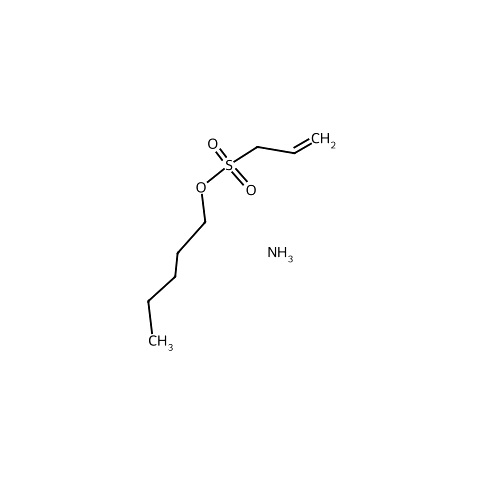 C=CCS(=O)(=O)OCCCCC.N